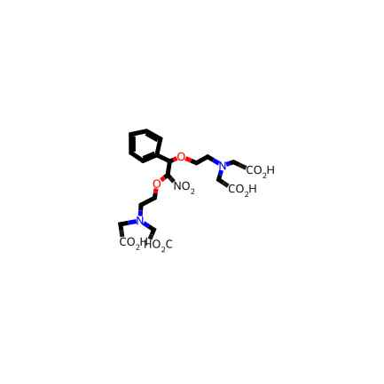 O=C(O)CN(CCOC(c1ccccc1)C(OCCN(CC(=O)O)CC(=O)O)[N+](=O)[O-])CC(=O)O